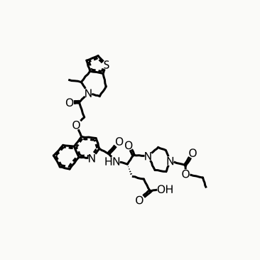 CCOC(=O)N1CCN(C(=O)[C@H](CCC(=O)O)NC(=O)c2cc(OCC(=O)N3CCc4sccc4C3C)c3ccccc3n2)CC1